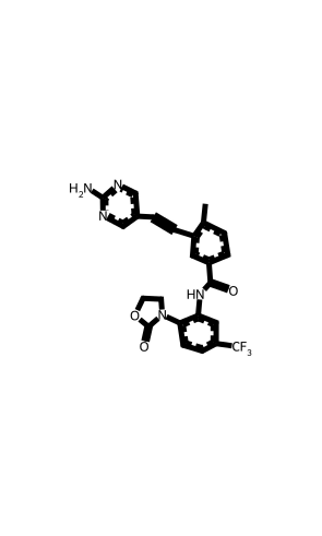 Cc1ccc(C(=O)Nc2cc(C(F)(F)F)ccc2N2CCOC2=O)cc1C#Cc1cnc(N)nc1